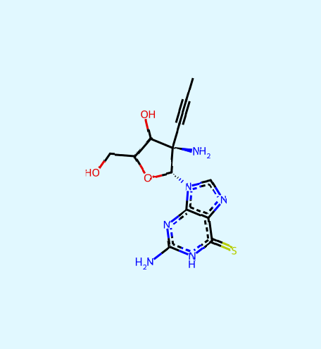 CC#C[C@@]1(N)C(O)C(CO)O[C@H]1n1cnc2c(=S)[nH]c(N)nc21